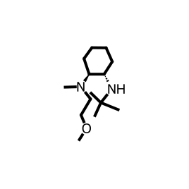 COCCN(C)[C@H]1CCCC[C@@H]1NC(C)(C)C